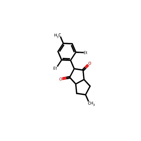 CCc1cc(C)cc(CC)c1C1C(=O)C2CC(C)CC2C1=O